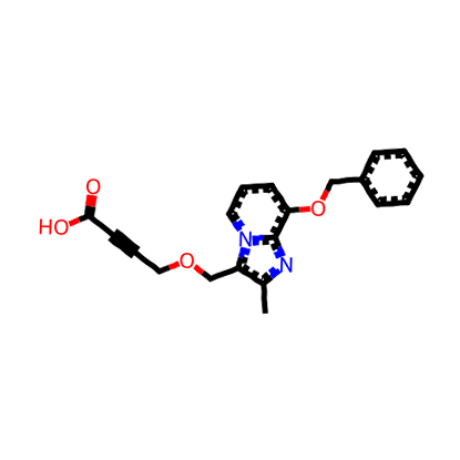 Cc1nc2c(OCc3ccccc3)cccn2c1COCC#CC(=O)O